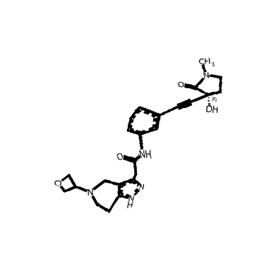 CN1CC[C@@](O)(C#Cc2cccc(NC(=O)c3n[nH]c4c3CN(C3COC3)CC4)c2)C1=O